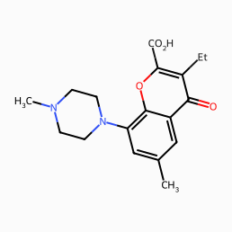 CCc1c(C(=O)O)oc2c(N3CCN(C)CC3)cc(C)cc2c1=O